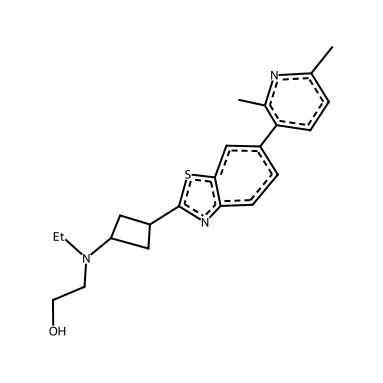 CCN(CCO)C1CC(c2nc3ccc(-c4ccc(C)nc4C)cc3s2)C1